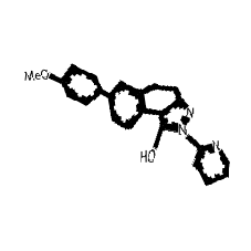 COc1ccc(-c2ccc3c(c2)CCc2nn(-c4ccccn4)c(O)c2-3)cc1